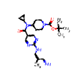 C/C(C=N)=C/Nc1ncc(C(=O)N(C2CC2)C2CCN(C(=O)OC(C)(C)C)CC2)cn1